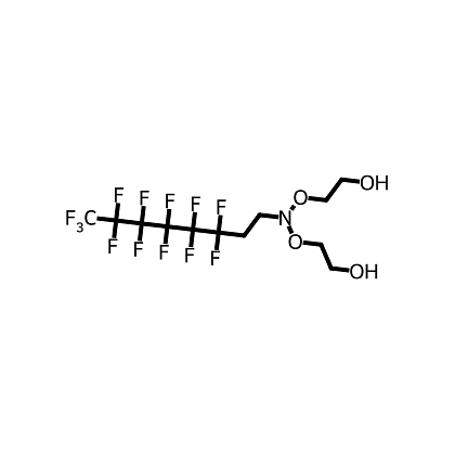 OCCON(CCC(F)(F)C(F)(F)C(F)(F)C(F)(F)C(F)(F)C(F)(F)F)OCCO